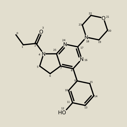 CCC(=O)N1CCc2c(C3C=C(O)C=CC3)nc(N3CCOCC3)nc21